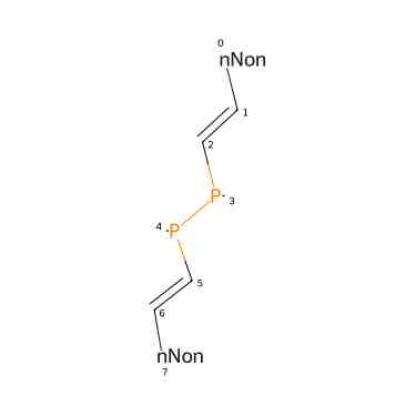 CCCCCCCCCC=C[P][P]C=CCCCCCCCCC